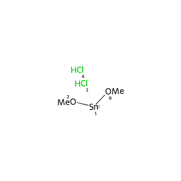 C[O][Sn][O]C.Cl.Cl